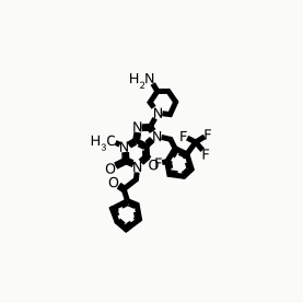 Cn1c(=O)n(CC(=O)c2ccccc2)c(=O)c2c1nc(N1CCCC(N)C1)n2Cc1c(F)cccc1C(F)(F)F